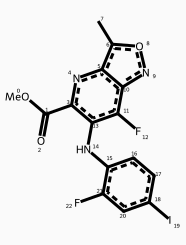 COC(=O)c1nc2c(C)onc2c(F)c1Nc1ccc(I)cc1F